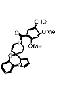 COc1cc(OC)c(C(=O)N2CCC3(CC2)Oc2ccccc2-n2cccc23)cc1C=O